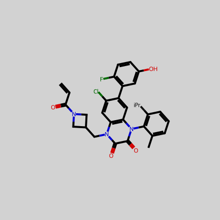 C=CC(=O)N1CC(Cn2c(=O)c(=O)n(-c3c(C)cccc3C(C)C)c3cc(-c4cc(O)ccc4F)c(Cl)cc32)C1